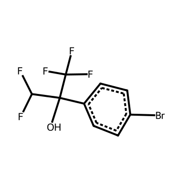 OC(c1ccc(Br)cc1)(C(F)F)C(F)(F)F